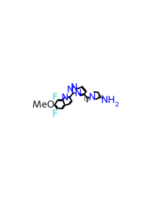 COc1c(F)cc2ccc(-c3nnc4ccc([C@H](C)N5CC[C@H](N)C5)cn34)nc2c1F